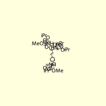 CCCP(=O)(N[C@@H](C)C(=O)OC(C)C)Oc1cc(/C=C/c2ccc(OP(=O)(COC)N[C@@H](C)C(=O)OC(C)C)cc2)cc(OP(=O)(COC)N[C@@H](C)C(=O)OC(C)C)c1